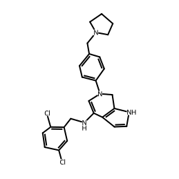 Clc1ccc(Cl)c(CNC2=CN(c3ccc(CN4CCCC4)cc3)Cc3[nH]ccc32)c1